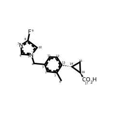 Cc1cc(Cn2cnc(F)c2)ccc1[C@@H]1C[C@H]1C(=O)O